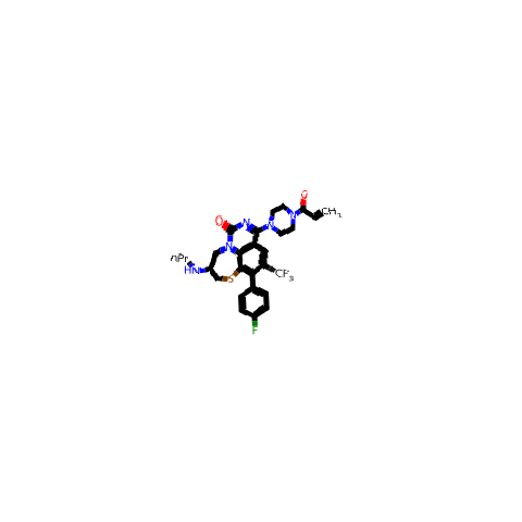 C=CC(=O)N1CCN(c2nc(=O)n3c4c(c(-c5ccc(F)cc5)c(C(F)(F)F)cc24)SCC(NCCC)C3)CC1